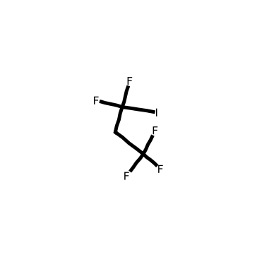 FC(F)(F)CC(F)(F)I